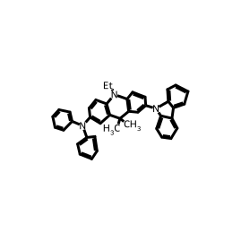 CCN1c2ccc(N(c3ccccc3)c3ccccc3)cc2C(C)(C)c2cc(-n3c4ccccc4c4ccccc43)ccc21